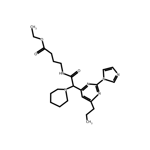 CCCc1cc(C(C(=O)NCCCC(=O)OCC)N2CCCCC2)nc(-n2ccnc2)n1